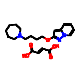 O=C(O)C=CC(=O)O.c1ccn2nc(OCCCCN3CCCCCC3)cc2c1